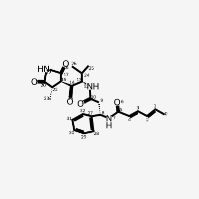 C/C=C/C=C/C(=O)N[C@@H](CC(=O)N[C@H](C(=O)[C@@H]1C(=O)NC(=O)[C@H]1C)C(C)C)c1ccccc1